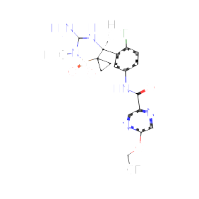 CN1C(N)N[C@](C)(c2cc(NC(=O)c3cnc(OCC(F)(F)F)cn3)ccc2F)C2(CC2)S1(=O)=O